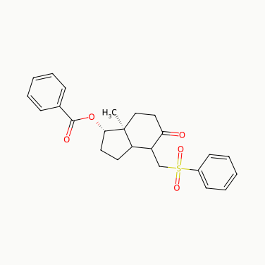 C[C@]12CCC(=O)C(CS(=O)(=O)c3ccccc3)C1CC[C@@H]2OC(=O)c1ccccc1